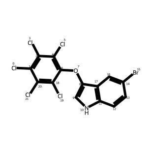 Clc1c(Cl)c(Cl)c(Oc2c[nH]c3ccc(Br)cc23)c(Cl)c1Cl